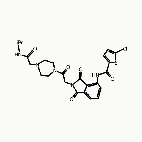 CC(C)NC(=O)CN1CCN(C(=O)CN2C(=O)c3cccc(NC(=O)c4ccc(Cl)s4)c3C2=O)CC1